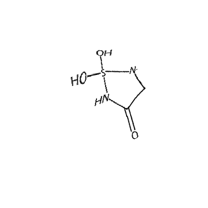 O=C1C[N]S(O)(O)N1